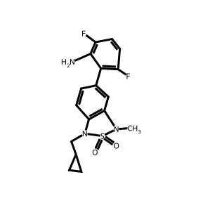 CN1c2cc(-c3c(F)ccc(F)c3N)ccc2N(CC2CC2)S1(=O)=O